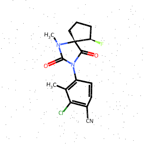 Cc1c(N2C(=O)N(C)[C@@]3(CCC[C@H]3F)C2=O)ccc(C#N)c1Cl